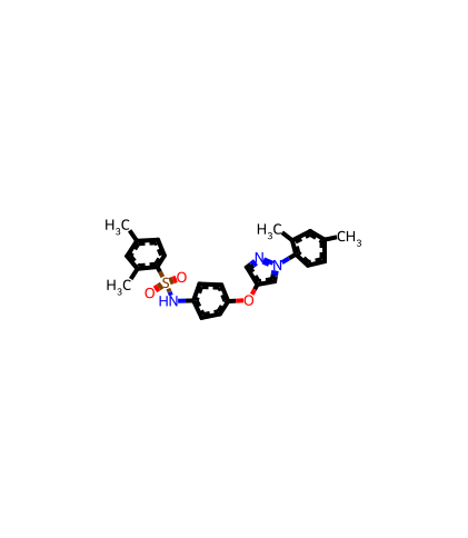 Cc1ccc(-n2cc(Oc3ccc(NS(=O)(=O)c4ccc(C)cc4C)cc3)cn2)c(C)c1